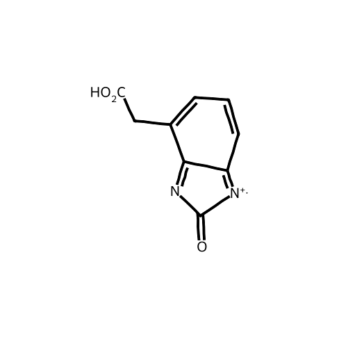 O=C(O)Cc1cccc2c1=NC(=O)[N+]=2